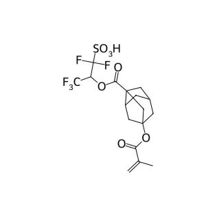 C=C(C)C(=O)OC12CC3CC(C1)C(C(=O)OC(C(F)(F)F)C(F)(F)S(=O)(=O)O)(C3)C2